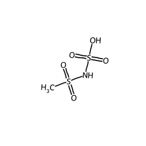 CS(=O)(=O)NS(=O)(=O)O